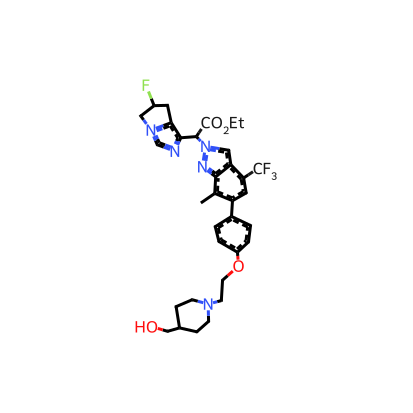 CCOC(=O)C(c1ncn2c1CC(F)C2)n1cc2c(C(F)(F)F)cc(-c3ccc(OCCN4CCC(CO)CC4)cc3)c(C)c2n1